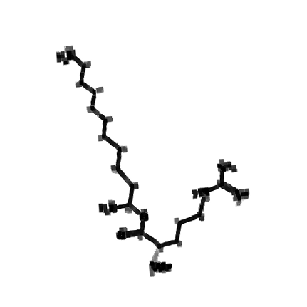 CN[C@@H](CCCNC(=N)N)C(=O)OC(N)CCCCCCCCCN